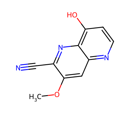 COc1cc2nccc(O)c2nc1C#N